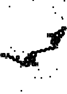 C[C@H](CCCCCCCC[C@@H]1CC[C@@]2(C)C(C1)C[C@H](O)[C@H]1C3CC[C@H]([C@H](C)CCC(=O)CCCS(=O)(=O)O)[C@@]3(C)CC[C@@H]12)[C@H]1CCC2[C@@H]3[C@@H](O)CC4C[C@H](O)CC[C@]4(C)[C@H]3CC[C@@]21C